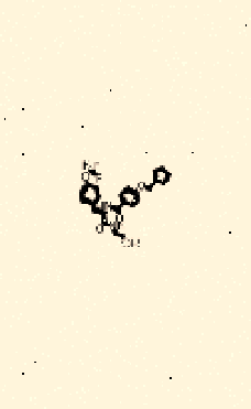 O=C(NCCO)/C(=C/c1ccc(OC(F)(F)F)cc1)NC(=O)c1ccc(OCC2CCCC2)cc1